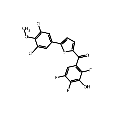 COc1c(Cl)cc(-c2ccc(C(=O)c3cc(F)c(F)c(O)c3F)s2)cc1Cl